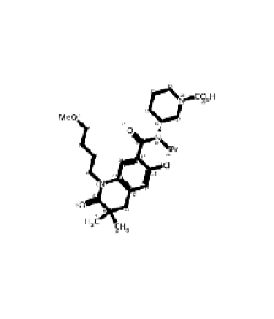 COCCCCN1C(=O)C(C)(C)Cc2cc(Cl)c(C(=O)N(C(C)C)[C@@H]3CCCN(C(=O)O)C3)cc21